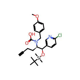 C#CCC[C@H]([C@H](O[Si](C)(C)C(C)(C)C)c1ccc(Cl)nc1)N(Cc1ccc(OC)cc1)C(=O)O